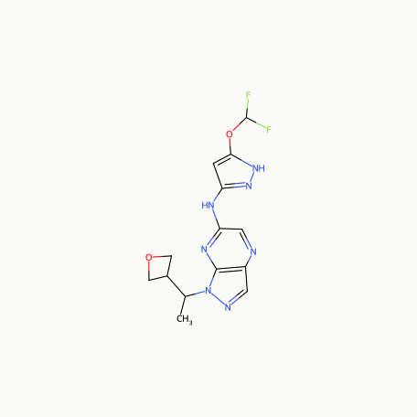 CC(C1COC1)n1ncc2ncc(Nc3cc(OC(F)F)[nH]n3)nc21